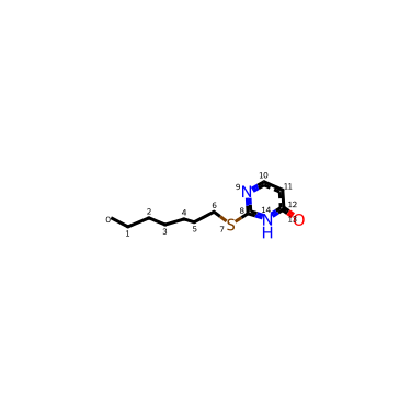 CCCCCCCSc1nccc(=O)[nH]1